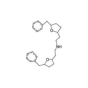 c1ccc(CC2CCC(CCNCCC3CCC(Cc4ccccc4)O3)O2)cc1